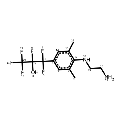 Cc1cc(C(F)(F)C(O)(F)C(F)(F)F)cc(C)c1NCCN